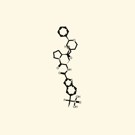 NCCC[C@H](NC(=O)c1cc2cc(C(F)(F)P(=O)(O)O)ccc2s1)C(=O)N1CCC[C@H]1C(=O)N1CCO[C@H](c2ccccc2)C1